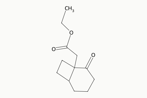 CCOC(=O)CC12CCC1CCCC2=O